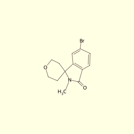 CN1C(=O)c2ccc(Br)cc2C12CCOCC2